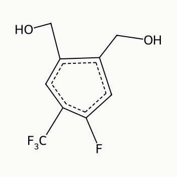 OCc1cc(F)c(C(F)(F)F)cc1CO